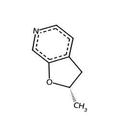 C[C@H]1Cc2ccncc2O1